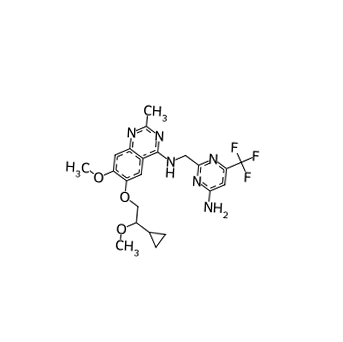 COc1cc2nc(C)nc(NCc3nc(N)cc(C(F)(F)F)n3)c2cc1OCC(OC)C1CC1